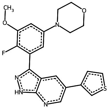 COc1cc(N2CCOCC2)cc(-c2n[nH]c3ncc(-c4ccsc4)cc23)c1F